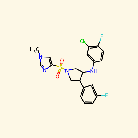 Cn1cnc(S(=O)(=O)N2CC(Nc3ccc(F)c(Cl)c3)C(c3cccc(F)c3)C2)c1